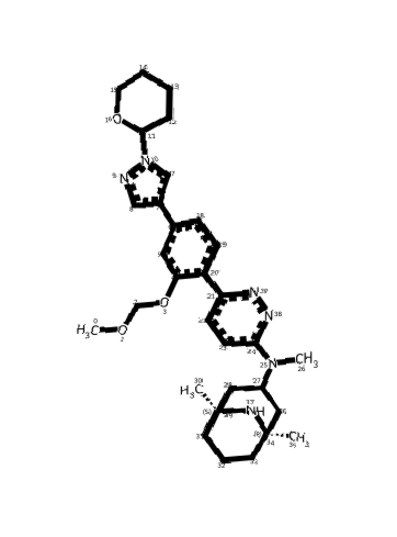 COCOc1cc(-c2cnn(C3CCCCO3)c2)ccc1-c1ccc(N(C)C2C[C@]3(C)CCC[C@](C)(C2)N3)nn1